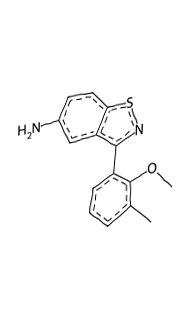 COc1c(C)cccc1-c1nsc2ccc(N)cc12